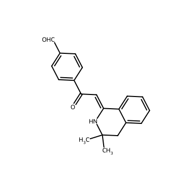 CC1(C)Cc2ccccc2C(=CC(=O)c2ccc(C=O)cc2)N1